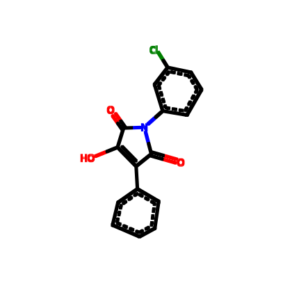 O=C1C(O)=C(c2ccccc2)C(=O)N1c1cccc(Cl)c1